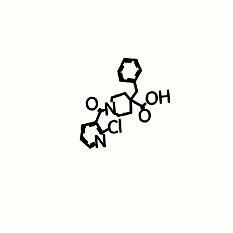 O=C(c1cccnc1Cl)N1CCC(Cc2ccccc2)(C(=O)O)CC1